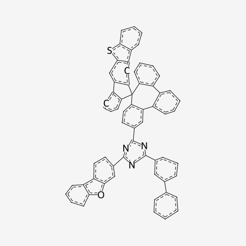 c1ccc(-c2cccc(-c3nc(-c4ccc5c(c4)-c4ccccc4-c4ccccc4C54c5ccccc5-c5cc6sc7ccccc7c6cc54)nc(-c4ccc5c(c4)oc4ccccc45)n3)c2)cc1